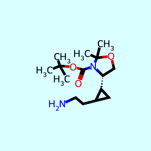 CC(C)(C)OC(=O)N1[C@@H](C2CC2CCN)COC1(C)C